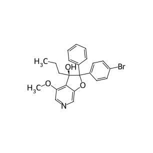 CCC[C@@]1(O)c2c(OC)cncc2OC1(c1ccccc1)c1ccc(Br)cc1